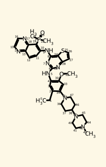 CCc1cc(Nc2nc(Nc3ccc4nccnc4c3P(C)(C)=O)c3sccc3n2)c(OC)cc1N1CCC(N2CCN(C)CC2)CC1